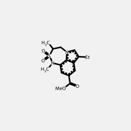 CCc1cn2c3c(cc(C(=O)OC)cc13)N(C)S(=O)(=O)C(C)C2